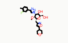 CO[C@@H]1[C@@H](n2cc(-c3ccc(C)c(F)c3)nn2)[C@@H](O)[C@@H](CO)O[C@@H]1Cc1cc(C2CCOCC2)on1